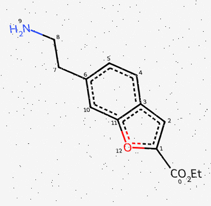 CCOC(=O)c1cc2ccc(CCN)cc2o1